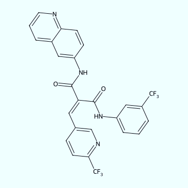 O=C(Nc1cccc(C(F)(F)F)c1)/C(=C\c1ccc(C(F)(F)F)nc1)C(=O)Nc1ccc2ncccc2c1